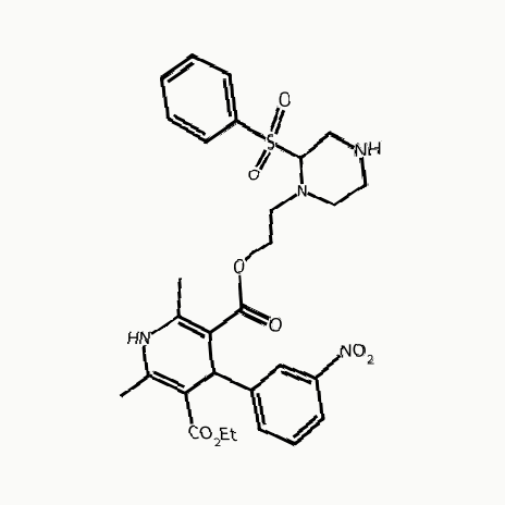 CCOC(=O)C1=C(C)NC(C)=C(C(=O)OCCN2CCNCC2S(=O)(=O)c2ccccc2)C1c1cccc([N+](=O)[O-])c1